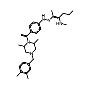 C=C(c1ccc(NS/C(C)=C(/CCC)NC)cc1)N1C(C)CN(Cc2ccc(C)c(C)c2)CC1C